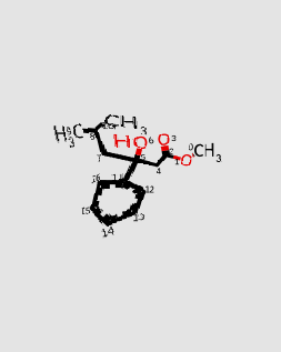 COC(=O)CC(O)(CC(C)C)c1ccccc1